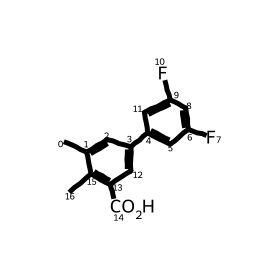 Cc1cc(-c2cc(F)cc(F)c2)cc(C(=O)O)c1C